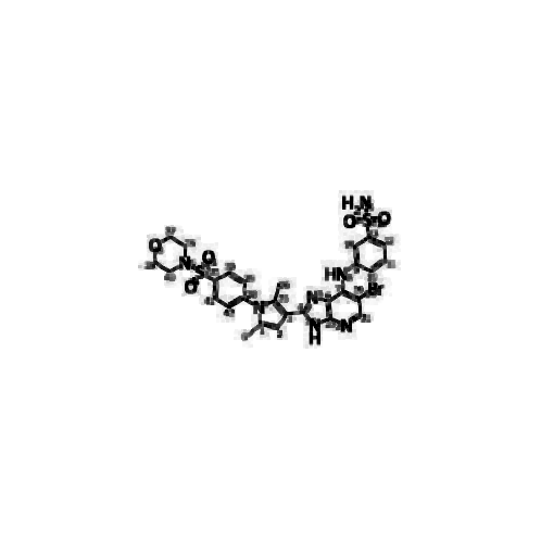 Cc1cc(-c2nc3c(Nc4cccc(S(N)(=O)=O)c4)c(Br)cnc3[nH]2)c(C)n1-c1ccc(S(=O)(=O)N2CCOCC2)cc1